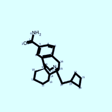 NC(=O)c1ccc2c(c1)[C@@]13CCCCC1C(C2)N(CC1CCC1)CC3